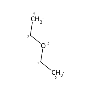 [CH2]COC[CH2]